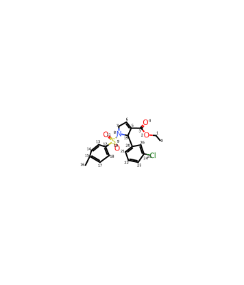 CCOC(=O)C1=CCN(S(=O)(=O)c2ccc(C)cc2)C1c1cccc(Cl)c1